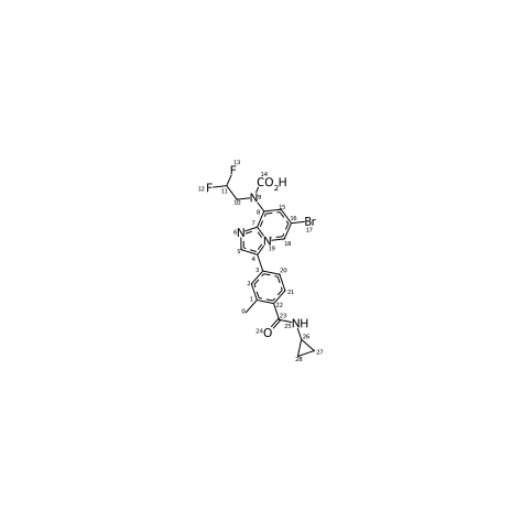 Cc1cc(-c2cnc3c(N(CC(F)F)C(=O)O)cc(Br)cn23)ccc1C(=O)NC1CC1